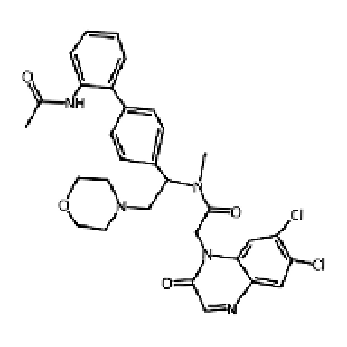 CC(=O)Nc1ccccc1-c1ccc(C(CN2CCOCC2)N(C)C(=O)Cn2c(=O)cnc3cc(Cl)c(Cl)cc32)cc1